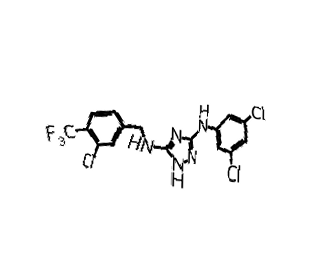 FC(F)(F)c1ccc(CNc2nc(Nc3cc(Cl)cc(Cl)c3)n[nH]2)cc1Cl